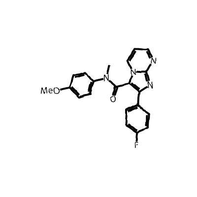 COc1ccc(N(C)C(=O)c2c(-c3ccc(F)cc3)nc3ncccn23)cc1